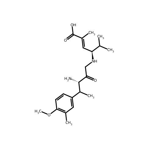 COc1ccc(C(C)[C@H](N)C(=O)CN[C@@H](/C=C(\C)C(=O)O)C(C)C)cc1C